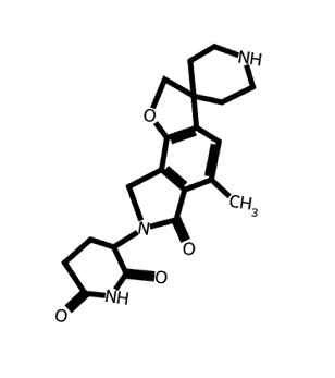 Cc1cc2c(c3c1C(=O)N(C1CCC(=O)NC1=O)C3)OCC21CCNCC1